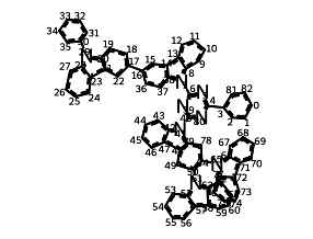 c1ccc(-c2nc(-n3c4ccccc4c4cc(-c5ccc6c(c5)c5ccccc5n6-c5ccccc5)ccc43)nc(-n3c4ccccc4c4cc(-n5c6ccccc6c6ccccc65)c(-n5c6ccccc6c6ccccc65)cc43)n2)cc1